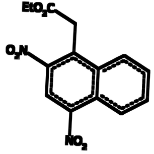 CCOC(=O)Cc1c([N+](=O)[O-])cc([N+](=O)[O-])c2ccccc12